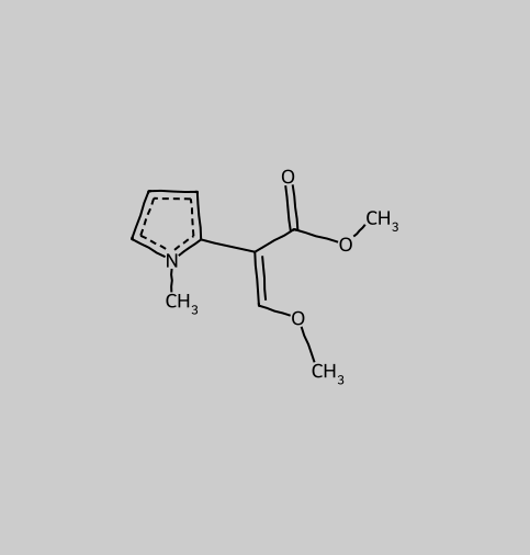 COC=C(C(=O)OC)c1cccn1C